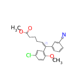 COC(=O)CCC/C=C(/c1cccc(C#N)c1)c1cc(Cl)ccc1OC